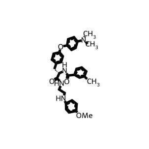 COc1ccc(NCCNC(=O)[C@H](Cc2ccc(Oc3ccc(N(C)C)cc3)cc2)NC(=O)c2cccc(C)c2)cc1